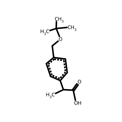 CC(C(=O)O)c1ccc(COC(C)(C)C)cc1